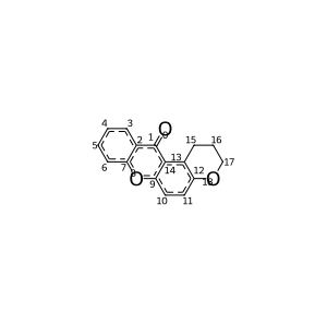 O=c1c2ccccc2oc2ccc3c(c12)CCCO3